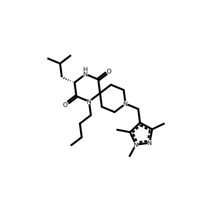 CCCCN1C(=O)[C@H](CC(C)C)NC(=O)C12CCN(Cc1c(C)nn(C)c1C)CC2